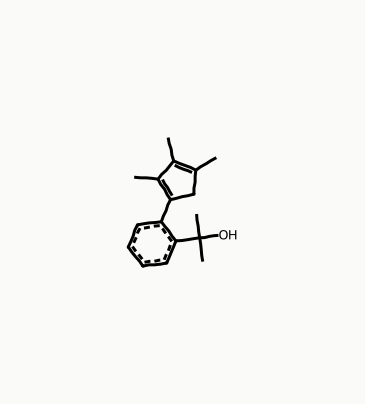 CC1=C(C)C(C)=C(c2ccccc2C(C)(C)O)C1